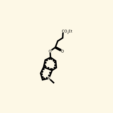 CCOC(=O)CCC(=O)Oc1ccc2c(ccn2C)c1